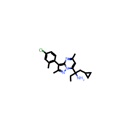 CCC(N)(CC1CC1)c1cc(C)nc2c(-c3ccc(Cl)cc3C)c(C)nn12